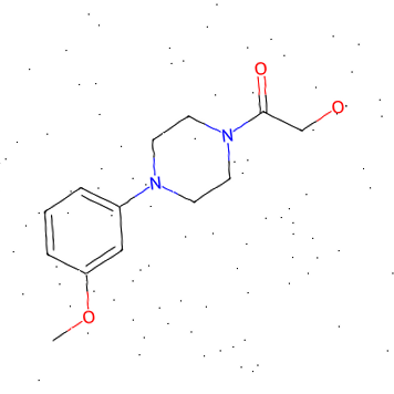 COc1cccc(N2CCN(C(=O)C[O])CC2)c1